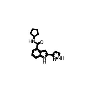 O=C(NC1CCCC1)c1cccc2[nH]c(-c3cc[nH]n3)cc12